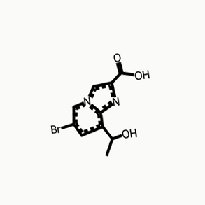 CC(O)c1cc(Br)cn2cc(C(=O)O)nc12